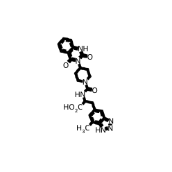 Cc1cc(CC(NC(=O)N2CCC(n3c(=O)[nH]c4ccccc4c3=O)CC2)C(=O)O)cc2nn[nH]c12